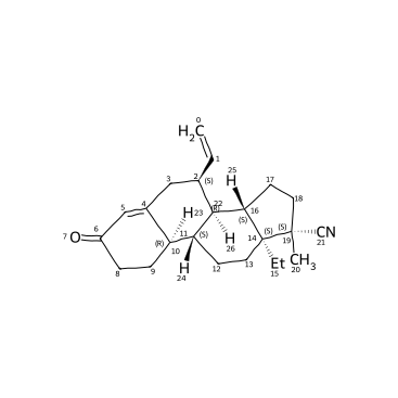 C=C[C@@H]1CC2=CC(=O)CC[C@@H]2[C@H]2CC[C@@]3(CC)[C@@H](CC[C@]3(C)C#N)[C@@H]21